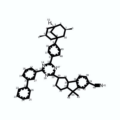 C[C@@H]1C[C@@H]2C[C@H](C)CC(c3ccc(-c4nc(-c5cccc(-c6ccccc6)c5)nc(C5CCC6C(C5)c5ccc(C#N)cc5C6(C)C)n4)cc3)(C1)C2